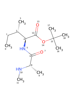 CC[C@H](C)[C@H](NC(=O)[C@H](C)NC)C(=O)OC(C)(C)C